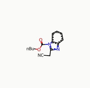 CCCCOC(=O)n1c(CC#N)nc2ccccc21